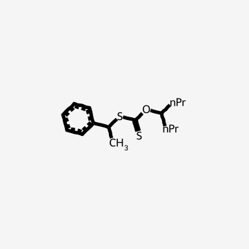 CCCC(CCC)OC(=S)SC(C)c1ccccc1